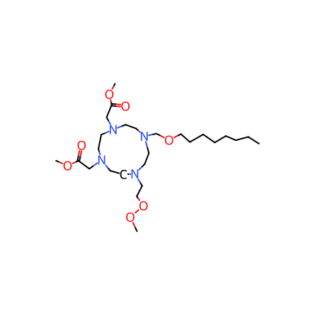 CCCCCCCCOCN1CCN(CCOOC)CCN(CC(=O)OC)CCN(CC(=O)OC)CC1